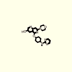 CN(c1ncccn1)C1CCC(Oc2nc(N3CCOCC3)cc3ncc(O)cc23)CC1